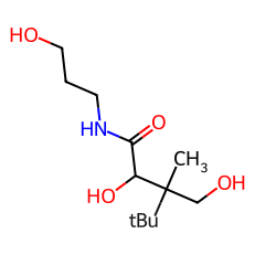 CC(C)(C)C(C)(CO)C(O)C(=O)NCCCO